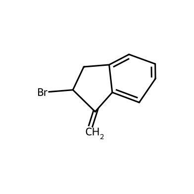 C=C1c2ccccc2CC1Br